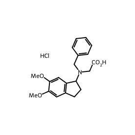 COc1cc2c(cc1OC)C(N(CC(=O)O)Cc1ccccc1)CC2.Cl